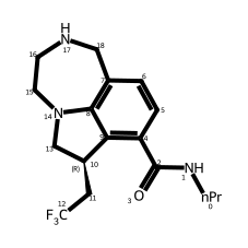 CCCNC(=O)c1ccc2c3c1[C@@H](CC(F)(F)F)CN3CCNC2